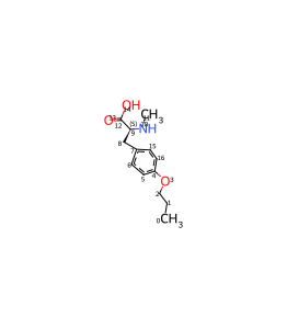 CCCOc1ccc(C[C@H](NC)C(=O)O)cc1